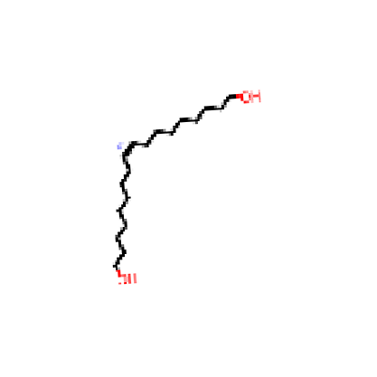 OCCCCCCCC/C=C\CCCCCCCCO